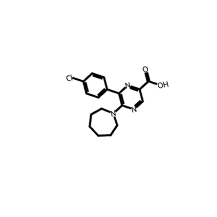 O=C(O)c1cnc(N2CCCCCC2)c(-c2ccc(Cl)cc2)n1